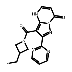 O=C(c1c(-c2ncccn2)nn2c(=O)cc[nH]c12)N1CC(CF)C1